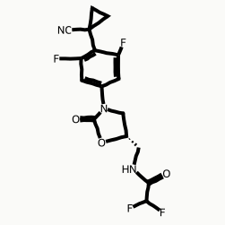 N#CC1(c2c(F)cc(N3C[C@H](CNC(=O)C(F)F)OC3=O)cc2F)CC1